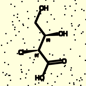 O=C(O)[C@H](Cl)[C@H](O)CO